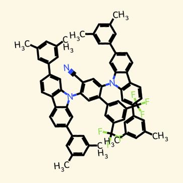 Cc1cc(C)cc(-c2ccc3c4ccc(-c5cc(C)cc(C)c5)cc4n(-c4cc(-c5cc(C(F)(F)F)cc(C(F)(F)F)c5)c(-n5c6cc(-c7cc(C)cc(C)c7)ccc6c6ccc(-c7cc(C)cc(C)c7)cc65)cc4C#N)c3c2)c1